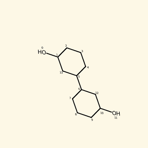 OC1CCCC(C2CCCC(O)C2)C1